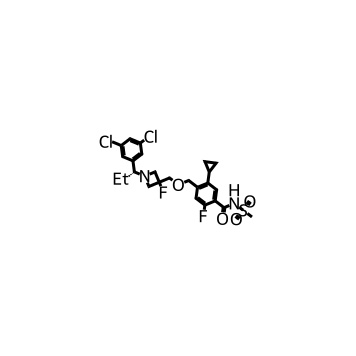 CC[C@H](c1cc(Cl)cc(Cl)c1)N1CC(F)(COCc2cc(F)c(C(=O)NS(C)(=O)=O)cc2C2CC2)C1